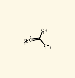 CC(=O)O.[Sb]